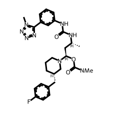 CNC(=O)O[C@H](C[C@@H](C)NC(=O)Nc1cccc(-c2nnnn2C)c1)N1CCC[C@@H](Cc2ccc(F)cc2)C1